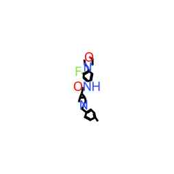 Cc1ccc(CN2CC3C(C2)C3C(=O)Nc2ccc(N3CCOCC3)c(F)c2)cc1